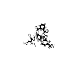 N[C@H](CO)C(=O)OC[C@H]1O[C@@H](n2ccc(NO)nc2=O)[C@@H]2OC(=O)c3ccccc3C(=O)O[C@@H]21